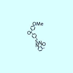 COc1ccc(C(=O)c2ccc(CSc3nc4cccc(C)c4c(=O)n3C)cc2)cc1